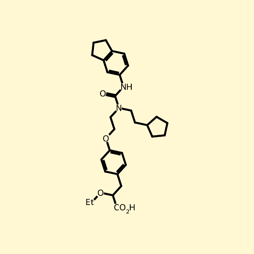 CCOC(Cc1ccc(OCCN(CCC2CCCC2)C(=O)Nc2ccc3c(c2)CCC3)cc1)C(=O)O